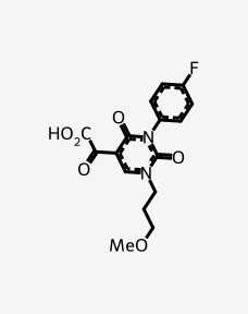 COCCCn1cc(C(=O)C(=O)O)c(=O)n(-c2ccc(F)cc2)c1=O